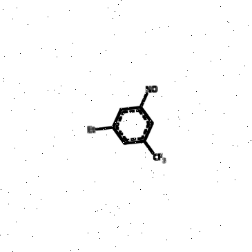 CCc1cc(N=O)cc(C(F)(F)F)c1